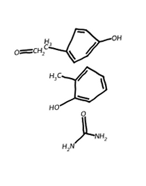 C=O.Cc1ccc(O)cc1.Cc1ccccc1O.NC(N)=O